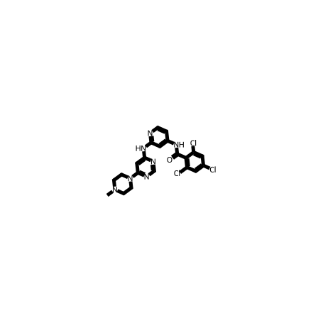 CN1CCN(c2cc(Nc3cc(NC(=O)c4c(Cl)cc(Cl)cc4Cl)ccn3)ncn2)CC1